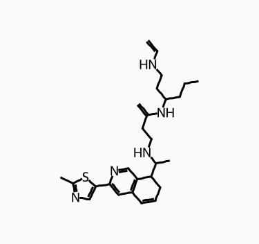 C=CNCCC(CCC)NC(=C)CCNC(C)C1CC=Cc2cc(-c3cnc(C)s3)ncc21